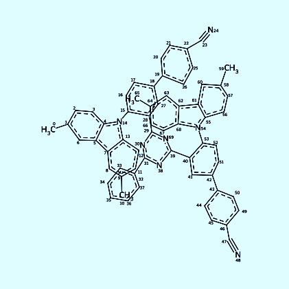 Cc1ccc2c(c1)c1cc(C)ccc1n2-c1ccc(-c2ccc(C#N)cc2)cc1-c1nc(-c2ccccc2)nc(-c2cc(-c3ccc(C#N)cc3)ccc2-n2c3ccc(C)cc3c3cc(C)ccc32)n1